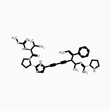 C/C=C(/c1ccccc1)C(C#CC#Cc1cnc([C@@H]2CCCN2C(=O)[C@@H](NC(=O)OC)C(C)C)[nH]1)C(C)/N=C(\N)[C@@H]1CCCN1